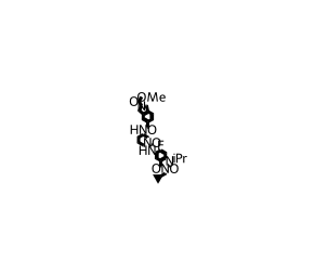 COC(=O)N1Cc2ccc(C(=O)NC3CCCN(C(=O)Nc4cc5c(=O)n(CC6CC6)c(=O)n(C(C)C)c5cc4F)C3)cc2C1